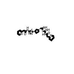 N=C(C[C@@H]1CC[C@H](c2nnc(NC(=O)Cc3ccccn3)s2)C1)SC(=N)NC(=O)Cc1ccccn1